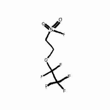 O=S(=O)(F)CCOC(F)(F)C(F)(F)F